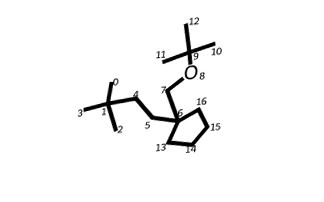 CC(C)(C)CCC1(COC(C)(C)C)CCCC1